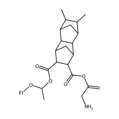 C=C(CN)OC(=O)C1C2CC(C1C(=O)OC(C)OCC)C1C3CC(C(C)C3C)C21